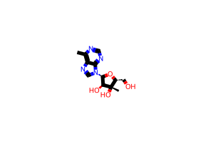 Cc1ncnc2c1ncn2[C@@H]1O[C@H](CO)[C@](C)(O)[C@H]1O